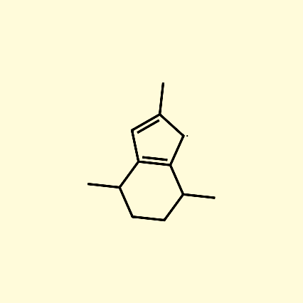 CC1=CC2=C([CH]1)C(C)CCC2C